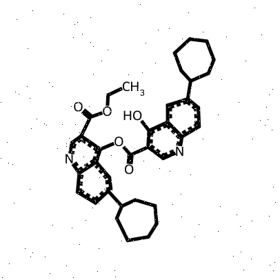 CCOC(=O)c1cnc2ccc(C3CCCCCC3)cc2c1OC(=O)c1cnc2ccc(C3CCCCCC3)cc2c1O